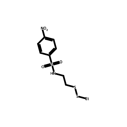 [CH2]CSSCCNS(=O)(=O)c1ccc([N+](=O)[O-])cc1